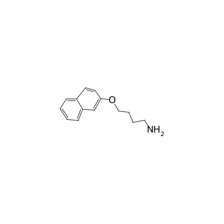 NCCCCOc1ccc2ccccc2c1